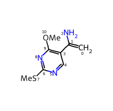 C=C(N)c1cnc(SC)nc1OC